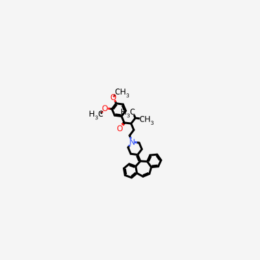 COc1ccc(C(=O)C(CCN2CCC(=C3c4ccccc4C=Cc4ccccc43)CC2)C(C)C)cc1OC